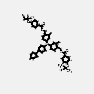 Cc1cc(N(c2ccc(-c3ccccc3)cc2)c2ccc(COC(=O)c3ccc(OC(F)(C(F)(F)F)C(F)(F)F)cc3)c(C)c2)ccc1COC(=O)c1ccc(OC(F)(CF)C(F)(F)F)cc1